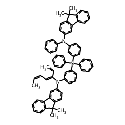 C=C/C(=C\C=C/C)N(c1cccc([Si](c2ccccc2)(c2ccccc2)c2cccc(N(c3ccccc3)c3ccc4c(c3)-c3ccccc3C4(C)C)c2)c1)c1ccc2c(c1)-c1ccccc1C2(C)C